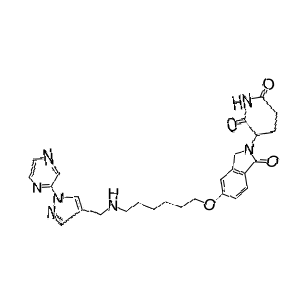 O=C1CCC(N2Cc3cc(OCCCCCCNCc4cnn(-c5cnccn5)c4)ccc3C2=O)C(=O)N1